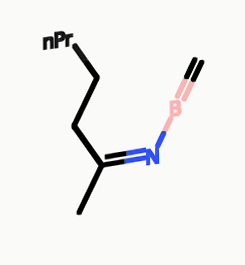 C=B/N=C(/C)CCCCC